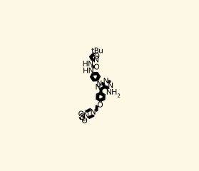 CC(C)(C)c1cc(NC(=O)Nc2ccc(-n3nc(-c4ccc(OCCN5CCN(S(C)(=O)=O)CC5)cc4)c4c(N)ncnc43)cc2)no1